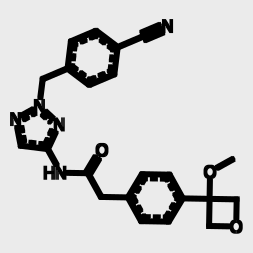 COC1(c2ccc(CC(=O)Nc3cnn(Cc4ccc(C#N)cc4)n3)cc2)COC1